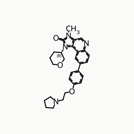 Cn1c(=O)n([C@@H]2CCCOC2)c2c3cc(-c4ccc(OCCN5CCCC5)cc4)ccc3ncc21